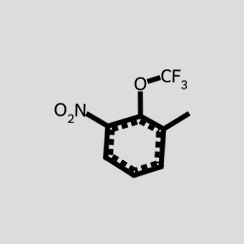 Cc1cccc([N+](=O)[O-])c1OC(F)(F)F